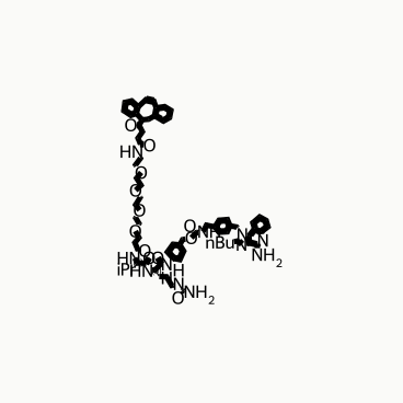 CCCCc1nc2c(N)nc3ccccc3c2n1Cc1ccc(CNC(=O)OCc2ccc(NC(=O)[C@H](CCCNC(N)=O)NC(=O)[C@@H](NC(=O)CCOCCOCCOCCOCCNC(=O)CCC(=O)C3Cc4ccccc4C#Cc4ccccc43)C(C)C)cc2)cc1